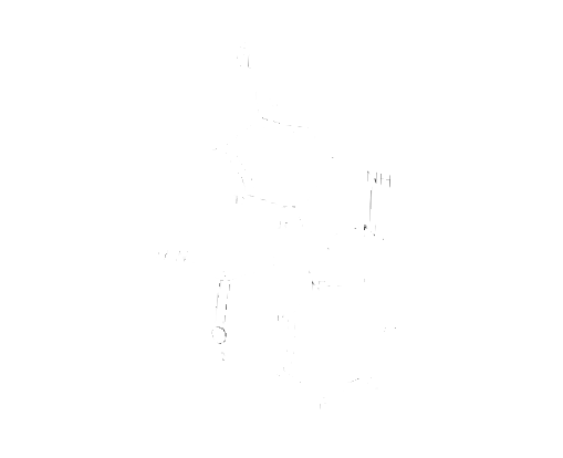 NC(=O)C[N+]1(c2n[nH]c3cc(Cl)ccc23)C=CC=CC=C1